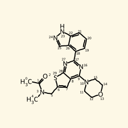 CC(=O)N(C)Cc1cc2c(N3CCOCC3)nc(-c3cccc4[nH]ncc34)nc2s1